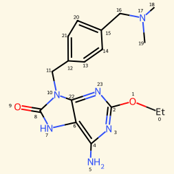 CCOc1nc(N)c2[nH]c(=O)n(Cc3ccc(CN(C)C)cc3)c2n1